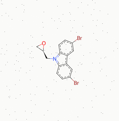 Brc1ccc2c(c1)c1cc(Br)ccc1n2C[C@H]1CO1